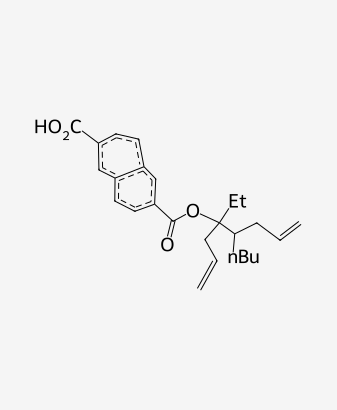 C=CCC(CCCC)C(CC)(CC=C)OC(=O)c1ccc2cc(C(=O)O)ccc2c1